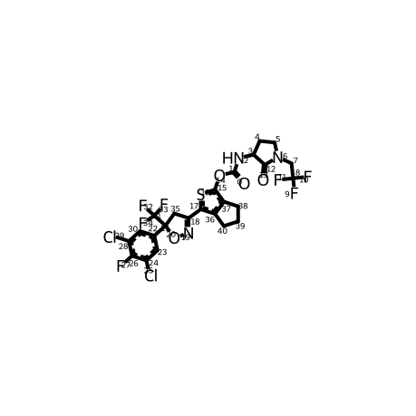 O=C(NC1CCN(CC(F)(F)F)C1=O)Oc1sc(C2=NOC(c3cc(Cl)c(F)c(Cl)c3)(C(F)(F)F)C2)c2c1CCC2